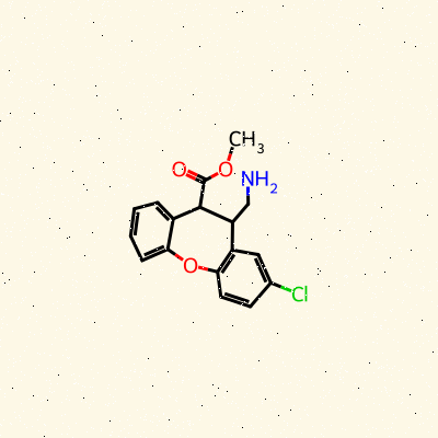 COC(=O)C1c2ccccc2Oc2ccc(Cl)cc2C1CN